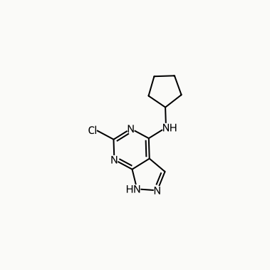 Clc1nc(NC2CCCC2)c2cn[nH]c2n1